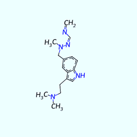 C=N/C=N\N(C)Cc1ccc2[nH]cc(CCN(C)C)c2c1